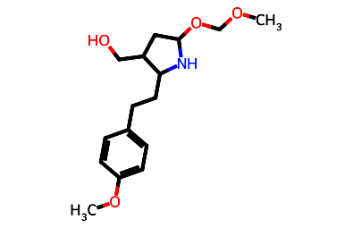 COCOC1CC(CO)C(CCc2ccc(OC)cc2)N1